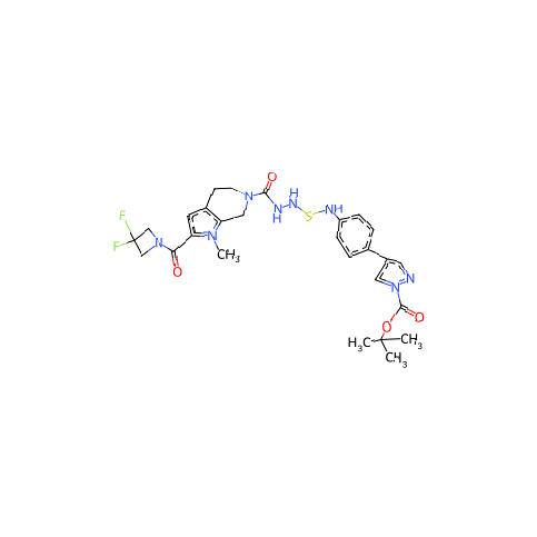 Cn1c(C(=O)N2CC(F)(F)C2)cc2c1CN(C(=O)NNSNc1ccc(-c3cnn(C(=O)OC(C)(C)C)c3)cc1)CC2